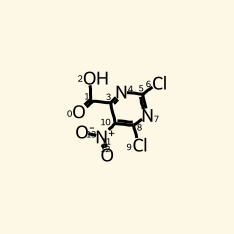 O=C(O)c1nc(Cl)nc(Cl)c1[N+](=O)[O-]